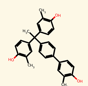 Cc1cc(-c2ccc(C(C)(c3ccc(O)c(C)c3)c3ccc(O)c(C)c3)cc2)ccc1O